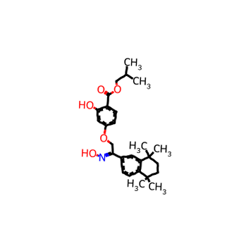 CC(C)COC(=O)c1ccc(OCC(=NO)c2ccc3c(c2)C(C)(C)CCC3(C)C)cc1O